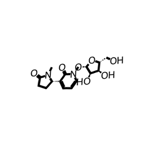 CN1C(=O)CC[C@H]1c1cccn(O[C@@H]2O[C@H](CO)[C@@H](O)[C@H]2O)c1=O